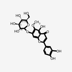 COc1c(OC2O[C@H](CO)[C@@H](O)[C@H](O)[C@H]2O)cc2oc(-c3ccc(O)c(O)c3)cc(=O)c2c1O